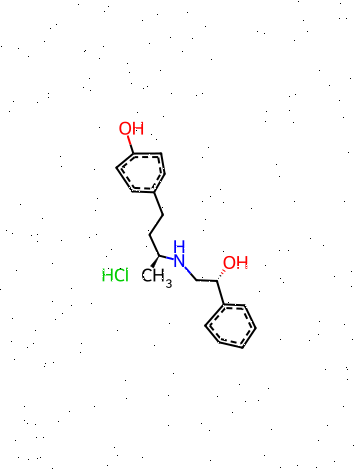 C[C@@H](CCc1ccc(O)cc1)NC[C@H](O)c1ccccc1.Cl